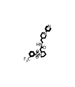 O=C(CC1CCCCN1S(=O)(=O)c1cccc(C(F)(F)F)c1)NCCC1CCN(c2ccncc2)CC1